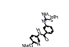 CCCS/C(N)=N\c1cccc(C(=O)Nc2ccc(OC)nc2)c1